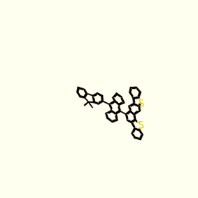 CC1(C)c2ccccc2-c2ccc(-c3c4ccccc4c(-c4cc5c6ccccc6sc5c5cc6sc7ccccc7c6cc45)c4ccccc34)cc21